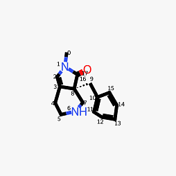 CN1C=C2CCNC[C@]2(Cc2ccccc2)C1=O